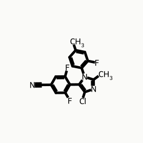 Cc1ccc(-n2c(C)nc(Cl)c2-c2c(F)cc(C#N)cc2F)c(F)c1